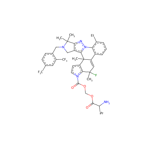 CCc1cccc2c1-n1nc3c(c1C1(C)C2=CC(C)(F)c2c1ccn2C(=O)OCOC(=O)C(N)C(C)C)CN(Cc1ccc(C(F)(F)F)cc1C(F)(F)F)C3(C)C